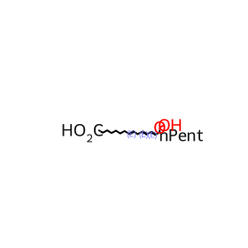 CCCCCC(/C=C/C=C/C/C=C/CCCCCCC(=O)O)OO